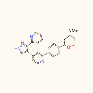 CNC1CCOC(c2ccc(-c3cc(-c4c[nH]nc4-c4ccccn4)ccn3)cc2)C1